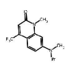 CC(C)N(C)c1ccc2c(C(F)(F)F)cc(=O)n(C)c2c1